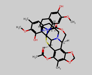 COc1cc2c(cc1O)CCN[C@]21CS[C@@H]2c3c(OC(C)=O)c(C)c4c(c3[C@H](COC1=O)N1C[C@H]3Cc5cc(C)c(OC)c(O)c5C(C21)N3C)OCO4